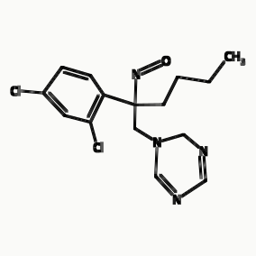 CCCCC(CN1C=NC=NC1)(N=O)c1ccc(Cl)cc1Cl